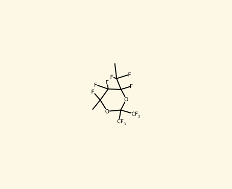 CC(F)(F)C1(F)OC(C(F)(F)F)(C(F)(F)F)OC(C)(F)C1(F)F